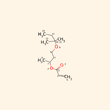 C=CC(=O)OC(C)CCOC(C)(C)CC